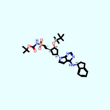 CC(C)(C)OC(=O)NS(=O)(=O)/C=C/[C@@H]1C[C@@H](n2ccc3c(N[C@H]4CCc5ccccc54)ncnc32)C[C@@H]1O[Si](C)(C)C(C)(C)C